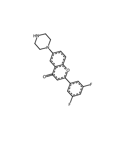 O=c1cc(-c2cc(F)cc(F)c2)oc2ccc(N3CCNCC3)cc12